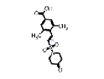 Cc1cc(C(=O)O)cc(C)c1/C=C/S(=O)(=O)N1CCC(=O)CC1